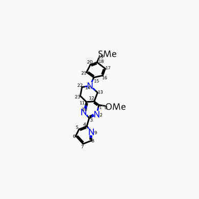 COc1nc(-c2ccccn2)nc2c1CN(c1ccc(SC)cc1)CC2